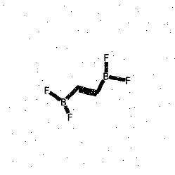 FB(F)C=CB(F)F